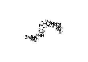 CC(C(=O)C(C)c1ccc(NCc2cnc3sc(Br)nn23)cc1)c1ccc(NCc2cnc3sc(Br)nn23)cc1